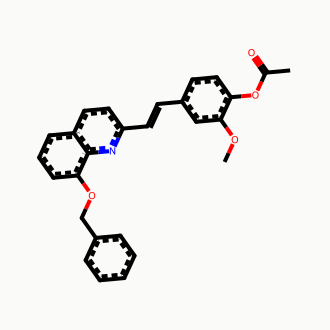 COc1cc(/C=C/c2ccc3cccc(OCc4ccccc4)c3n2)ccc1OC(C)=O